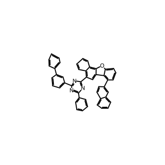 c1ccc(-c2cccc(-c3nc(-c4ccccc4)nc(-c4cc5c(oc6cccc(-c7ccc8ccccc8c7)c65)c5ccccc45)n3)c2)cc1